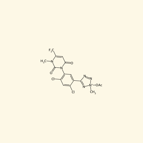 CC(=O)O[N+]1(C)N=NC(c2cc(-n3c(=O)cc(C(F)(F)F)n(C)c3=O)c(Cl)cc2Cl)=N1